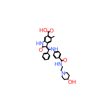 Cc1cc2c(cc1C(=O)O)NC(=O)/C2=C(/Nc1ccc(C(=O)NCCN2CCC(O)CC2)cc1)c1ccccc1